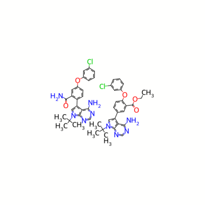 CC(C)(C)n1cc(-c2ccc(Oc3cccc(Cl)c3)cc2C(N)=O)c2c(N)ncnc21.CCOC(=O)c1cc(-c2cn(C(C)(C)C)c3ncnc(N)c23)ccc1Oc1cccc(Cl)c1